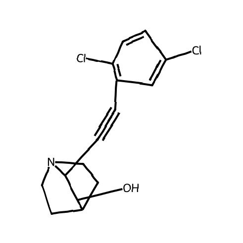 OC1C2CCN(CC2)C1C#Cc1cc(Cl)ccc1Cl